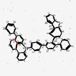 C1=CC(c2ccccc2N(c2ccc(-c3ccccc3)cc2)c2ccc(-c3ccc(-c4ccccc4)c(-c4ccc5sc6ccccc6c5c4)c3)cc2)=CCC1